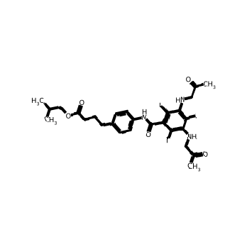 CC(=O)CNc1c(I)c(NCC(C)=O)c(I)c(C(=O)Nc2ccc(CCCC(=O)OCC(C)C)cc2)c1I